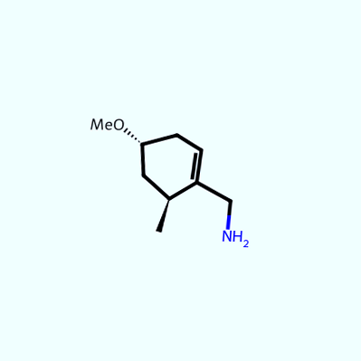 CO[C@@H]1CC=C(CN)[C@@H](C)C1